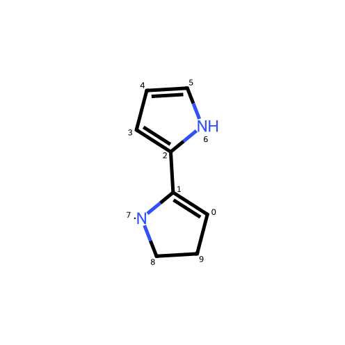 C1=C(c2ccc[nH]2)[N]CC1